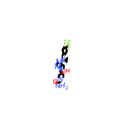 NC(=O)CN1CCC(O)(Cn2ccc3c(N(Cc4ccc(C(F)(F)F)cc4)C4CC4)ncnc32)CC1